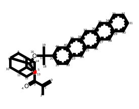 C=C(C)C(=O)OC1C2CC3CC1CC(C2)C3OC(C)(C)c1ccc2cc3cc4cc5ccccc5cc4cc3cc2c1